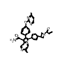 C=CC(=O)N1CC(c2ccc(-c3c(-c4ccc(Oc5nccc(C)n5)cc4)c(C(N)=O)c4cnc(C)cn34)cc2)C1